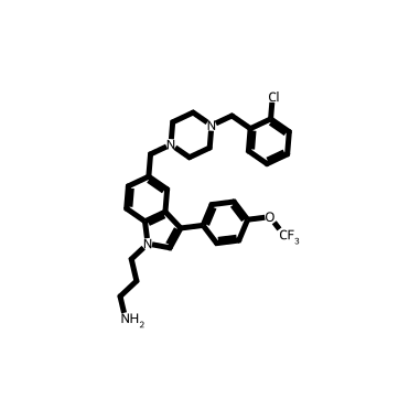 NCCCn1cc(-c2ccc(OC(F)(F)F)cc2)c2cc(CN3CCN(Cc4ccccc4Cl)CC3)ccc21